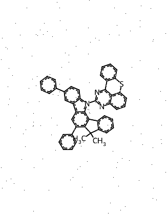 CC1(C)c2ccccc2-c2c1c(-c1ccccc1)cc1c3cc(-c4ccccc4)ccc3n(-c3nc4c5c(cccc5n3)Sc3ccccc3-4)c21